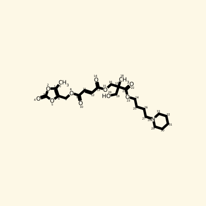 Cc1oc(=O)oc1COC(=O)/C=C/C(=O)OCC(C)(CO)C(=O)OCCCCN1CCCCC1